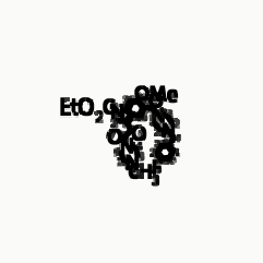 CCOC(=O)n1cc(C(=O)C(=O)N2CCN(C)CC2)c2cc(C(=O)N3CCN(Cc4ccc(F)cc4)CC3)c(OC)cc21